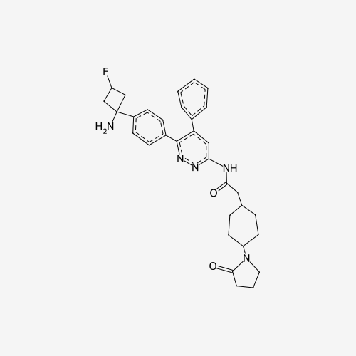 NC1(c2ccc(-c3nnc(NC(=O)CC4CCC(N5CCCC5=O)CC4)cc3-c3ccccc3)cc2)CC(F)C1